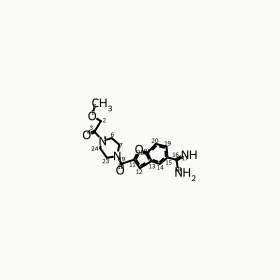 COCC(=O)N1CCN(C(=O)c2cc3cc(C(=N)N)ccc3o2)CC1